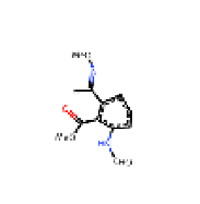 CO/N=C(\C)c1cccc(NC=O)c1C(=O)OC